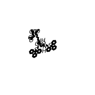 COC(=O)CN(CC(=O)OC)C(CCCCNC(=O)CN(CCSC(c1ccccc1)(c1ccccc1)c1ccccc1)CC(=O)NCCSC(c1ccccc1)(c1ccccc1)c1ccccc1)C(=O)OC